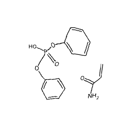 C=CC(N)=O.O=P(O)(Oc1ccccc1)Oc1ccccc1